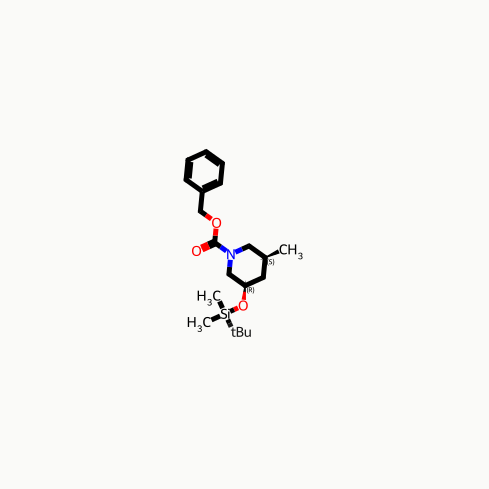 C[C@H]1C[C@@H](O[Si](C)(C)C(C)(C)C)CN(C(=O)OCc2ccccc2)C1